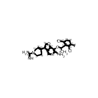 C[C@@H](Oc1c(N)ncc2c(C3=CCN(C(=N)N)CC3)coc12)c1c(Cl)ccc(F)c1Cl